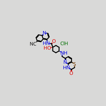 Cl.N#Cc1ccc2nccc(NC(=O)[C@]3(O)CC[C@@H](NCc4ccc5c(n4)NC(=O)CS5)CC3)c2c1